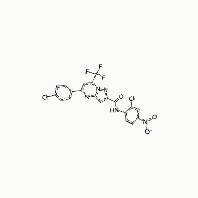 O=C(Nc1ccc([N+](=O)[O-])cc1Cl)c1cc2nc(-c3ccc(Cl)cc3)cc(C(F)(F)F)n2n1